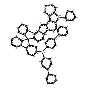 c1ccc(-c2ccc(N(c3ccc(-c4ccccc4)cc3)c3ccc4c(c3)C3(c5ccccc5-4)c4ccccc4-c4c3ccc3c4sc4c3ccc3c4c4ccccc4n3-c3ccccc3)cc2)cc1